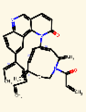 C=C/C=C\C(=C/C)c1ccc2ncc3ccc(=O)n(C4=C/C(=C)N(C(=O)C=C)CCC(=C)/C=C\4)c3c2c1